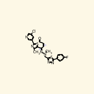 Cc1nc(-c2cncc(Cl)c2)sc1C(/C=C\C=O)=N/N(C)Cc1nnc(-c2ccc(F)cc2)s1